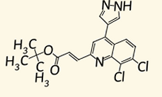 CC(C)(C)OC(=O)C=Cc1cc(-c2cn[nH]c2)c2ccc(Cl)c(Cl)c2n1